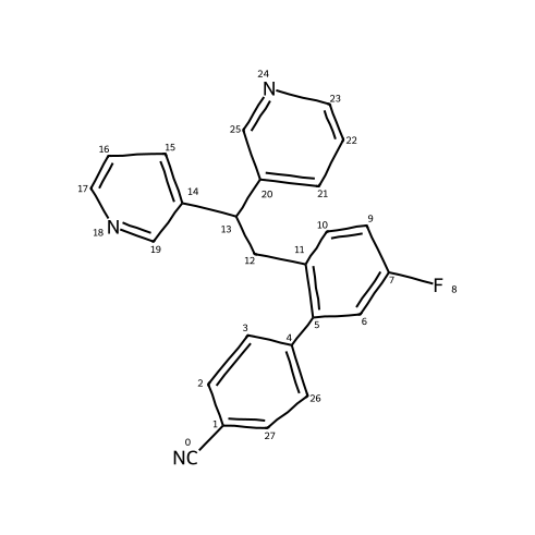 N#Cc1ccc(-c2cc(F)ccc2CC(c2cccnc2)c2cccnc2)cc1